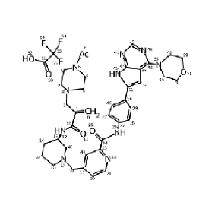 C=C(CN1CCN(C(C)=O)CC1)C(=O)N[C@@H]1CCCN(Cc2ccnc(C(=O)Nc3ccc(-c4cc5c(N6CCOCC6)ncnc5[nH]4)cc3)c2)C1.O=C(O)C(F)(F)F